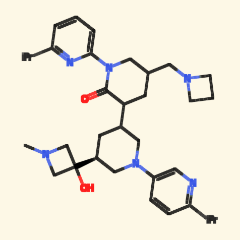 CC(C)c1ccc(N2CC(C3CC(CN4CCC4)CN(c4cccc(C(C)C)n4)C3=O)C[C@H](C3(O)CN(C)C3)C2)cn1